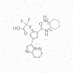 N[C@H]1CCCC[C@H]1NC(=O)c1cc(-c2cnc3cccnn23)cs1.O=C(O)C(F)(F)F